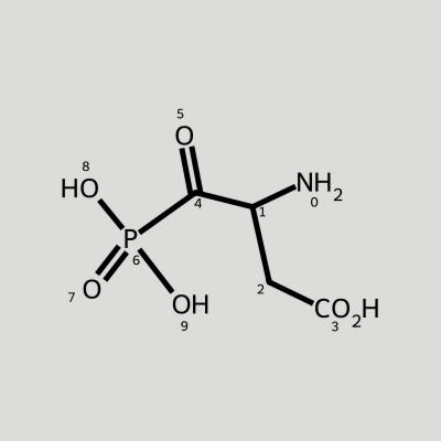 NC(CC(=O)O)C(=O)P(=O)(O)O